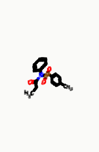 CCC(=O)N(c1ccccc1)S(=O)(=O)c1ccc(C)cc1